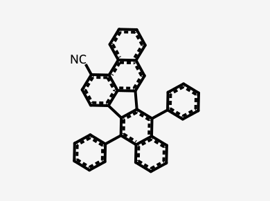 N#Cc1ccc2c3c(cc4ccccc4c13)-c1c-2c(-c2ccccc2)c2ccccc2c1-c1ccccc1